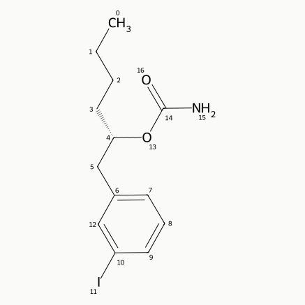 CCCC[C@@H](Cc1cccc(I)c1)OC(N)=O